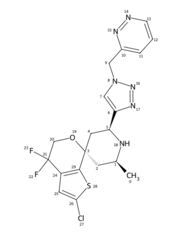 C[C@H]1C[C@@]2(C[C@@H](c3cn(Cc4cccnn4)nn3)N1)OCC(F)(F)c1cc(Cl)sc12